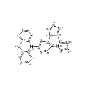 c1ccc2c(c1)Oc1ccccc1N2c1ccc2c(c1)n1cnnc1c1nncn21